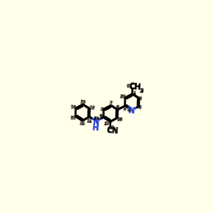 Cc1ccnc(-c2ccc(Nc3ccccc3)c(C#N)c2)c1